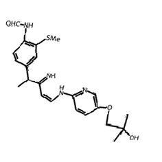 CSc1cc(C(C)C(=N)/C=C\Nc2ccc(OCC(C)(C)O)cn2)ccc1NC=O